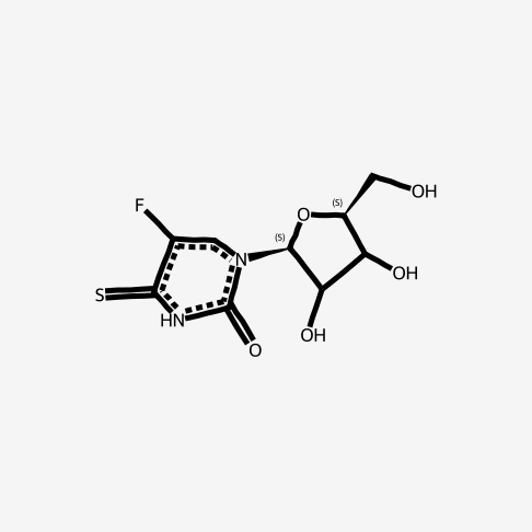 O=c1[nH]c(=S)c(F)cn1[C@H]1O[C@@H](CO)C(O)C1O